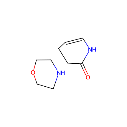 C1COCCN1.O=C1CCC=CN1